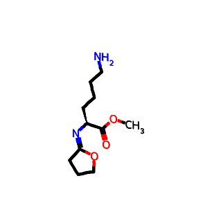 COC(=O)[C@H](CCCCN)N=C1CCCO1